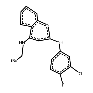 CC(C)(C)CNc1cc(Nc2ccc(F)c(Cl)c2)nc2ccccc12